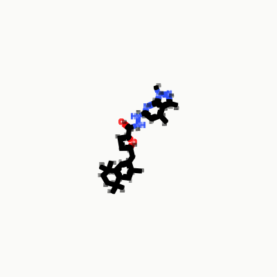 Cc1cc2c(cc1Cc1ccc(C(=O)NNc3cc(C)c4c(C)nn(C)c4n3)o1)C(C)(C)CCC2(C)C